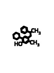 Cc1cc(O)c(C2CCCCC2)cc1CC(C)c1ccccc1